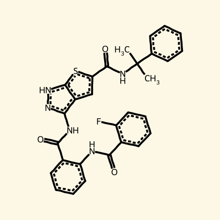 CC(C)(NC(=O)c1cc2c(NC(=O)c3ccccc3NC(=O)c3ccccc3F)n[nH]c2s1)c1ccccc1